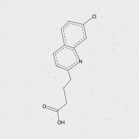 O=C(O)CCCc1ccc2ccc(Cl)cc2n1